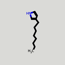 CCCCCCCCc1cc[nH]c1